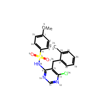 COc1ccc(S(=O)(=O)Nc2ncnc(Cl)c2Cc2ccccc2C(F)(F)F)cc1